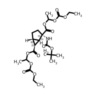 CCOC(=O)OC(C)OC(=O)[C@H]1[C@@H]2CC[C@@](NC(=O)OC(C)(C)C)(C(=O)OC(C)OC(=O)OCC)[C@@H]21